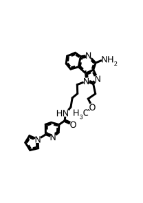 COCCc1nc2c(N)nc3ccccc3c2n1CCCCNC(=O)c1ccc(-n2cccc2)nc1